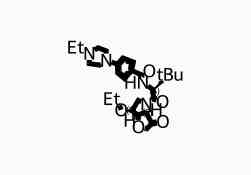 CCO[C@H]1CN(C(=O)[C@H](CC(C)(C)C)NC(=O)c2ccc(N3CCN(CC)CC3)cc2)[C@@H]2C(=O)CO[C@H]12